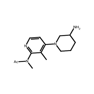 CC(=O)N(C)c1nccc(N2CCCC(N)C2)c1C